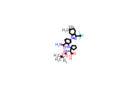 CC1(C)CCc2c(C(F)(F)F)nn(-c3ccc(C(N)=O)c(NC4([C@H](NC(=O)OC(C)(C)C)C(=O)O)CCCC4)c3)c2C1